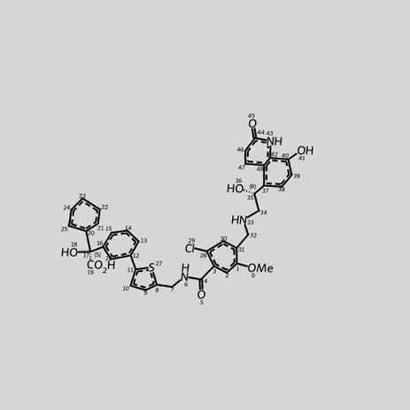 COc1cc(C(=O)NCc2ccc(-c3cccc([C@](O)(C(=O)O)c4ccccc4)c3)s2)c(Cl)cc1CNC[C@H](O)c1ccc(O)c2[nH]c(=O)ccc12